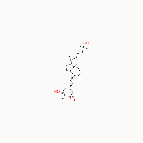 C=C1[C@H](O)CC(=C/C=C2\CCCC3(C)C2CCC3[C@@H](C)CCCC(C)(C)O)C[C@H]1O